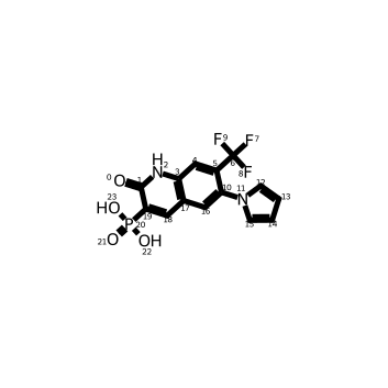 O=c1[nH]c2cc(C(F)(F)F)c(-n3cccc3)cc2cc1P(=O)(O)O